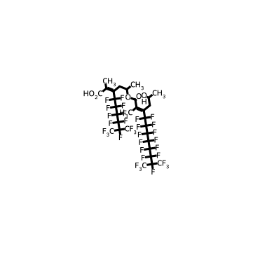 CC(C(=O)OC(C)CC(=C(C)C(=O)O)C(F)(F)C(F)(F)C(F)(F)C(F)(F)C(F)(C(F)(F)F)C(F)(F)F)=C(CC(C)O)C(F)(F)C(F)(F)C(F)(F)C(F)(F)C(F)(F)C(F)(F)C(F)(C(F)(F)F)C(F)(F)F